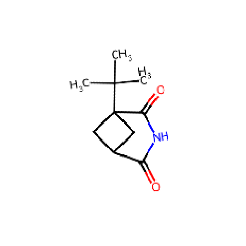 CC(C)(C)C12CC(C1)C(=O)NC2=O